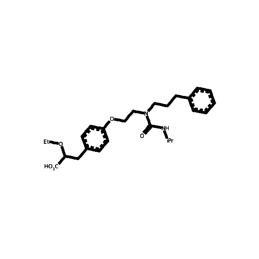 CCOC(Cc1ccc(OCCN(CCCc2ccccc2)C(=O)NC(C)C)cc1)C(=O)O